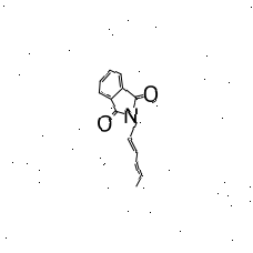 CC=CC=CCN1C(=O)c2ccccc2C1=O